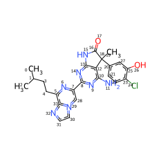 CC(C)CCc1nc(-c2nc(N)c3c(n2)NC(=O)C3(C)c2ccc(Cl)c(O)c2)cn2ccnc12